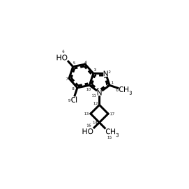 Cc1nc2cc(O)cc(Cl)c2n1C1CC(C)(O)C1